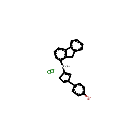 Brc1ccc(C2=CC[C]([Zr+2][c]3cccc4c3Cc3ccccc3-4)=C2)cc1.[Cl-].[Cl-]